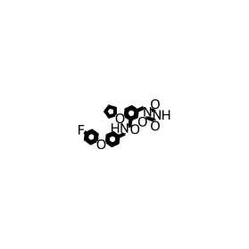 O=C1NC(=O)N(Cc2ccc(OC3CCCC3)c(C(=O)NCc3ccc(Oc4ccc(F)cc4)cc3)c2)C1=O